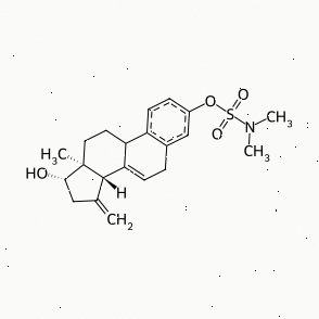 C=C1C[C@H](O)[C@@]2(C)CCC3C(=CCc4cc(OS(=O)(=O)N(C)C)ccc43)[C@H]12